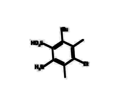 CCc1c(C)c([SiH3])c(S(=O)(=O)O)c(C(C)(C)C)c1C